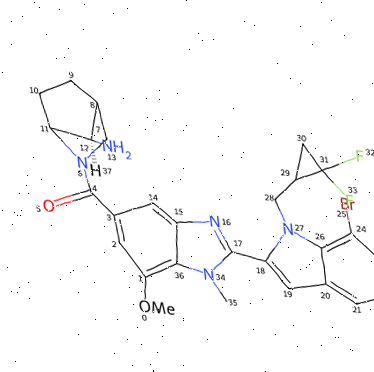 COc1cc(C(=O)N2CC3CCC2[C@@H]3N)cc2nc(-c3cc4cccc(Br)c4n3CC3CC3(F)F)n(C)c12